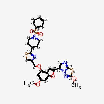 COc1cc(OCc2csc(C3CCN(S(=O)(=O)c4ccccc4)CC3)n2)c2cc(-c3cnc4sc(OC)nn34)oc2c1